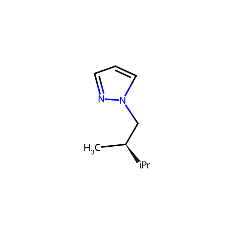 CC(C)[C@@H](C)Cn1cccn1